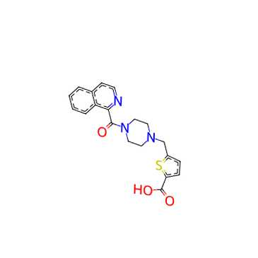 O=C(O)c1ccc(CN2CCN(C(=O)c3nccc4ccccc34)CC2)s1